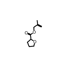 C=C(C)COC(=O)C1CCCO1